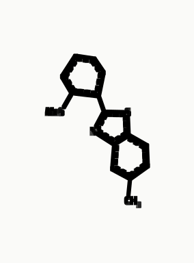 CSc1ccccc1-c1nc2cc(C)ccc2s1